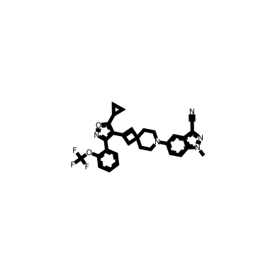 Cn1nc(C#N)c2cc(N3CCC4(C=C(c5c(-c6ccccc6OC(F)(F)F)noc5C5CC5)C4)CC3)ccc21